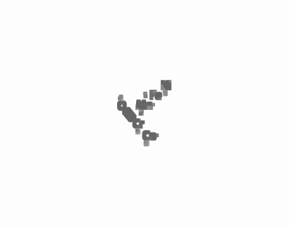 [Co].[Fe].[Mn].[Ni].[O]=[Cr]